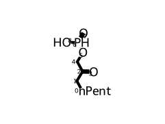 CCCCCCC(=O)CO[PH](=O)O